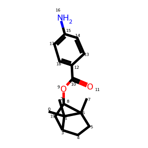 CC1(C)C2CCC1(C)C(OC(=O)c1ccc(N)cc1)C2